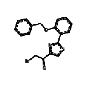 O=C(CBr)c1csc(-c2ccccc2OCc2ccccc2)n1